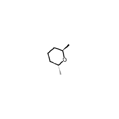 C[C@@H]1CCC[C@@H](C)O1